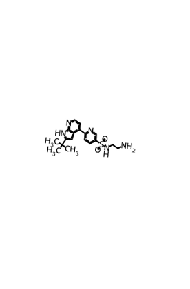 CC(C)(C)c1cc2c(-c3ccc(S(=O)(=O)NCCN)cn3)ccnc2[nH]1